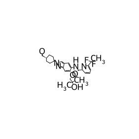 CC(C)(O)COc1cc2nn([C@H]3CC[C@H](C=O)CC3)cc2cc1NC(=O)c1cccc(C(C)(F)F)n1